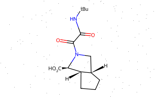 CC(C)(C)NC(=O)C(=O)N1C[C@@H]2CCC[C@@H]2[C@H]1C(=O)O